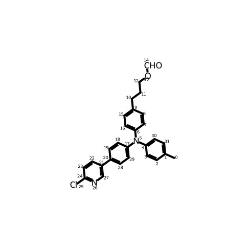 Cc1ccc(N(c2ccc(CCCOC=O)cc2)c2ccc(-c3ccc(Cl)nc3)cc2)cc1